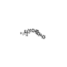 CC(=O)NC1CCN(Cc2ccc(C(=O)Cn3ccc(OCc4ccccc4)cc3=O)cc2)CC1